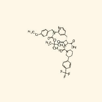 COc1ccc(CN(C(=O)OC(C)(C)C)c2cc(C[C@H]3C(=O)N(C(=O)N4CCCC(c5ccc(C(F)(F)F)cc5)C4)[C@@H]3C(=O)O)ccn2)cc1